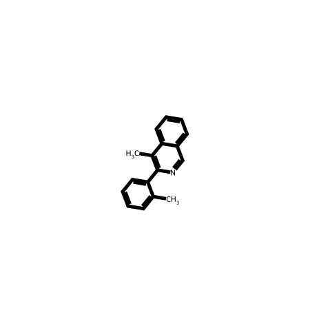 Cc1ccccc1-c1ncc2ccccc2c1C